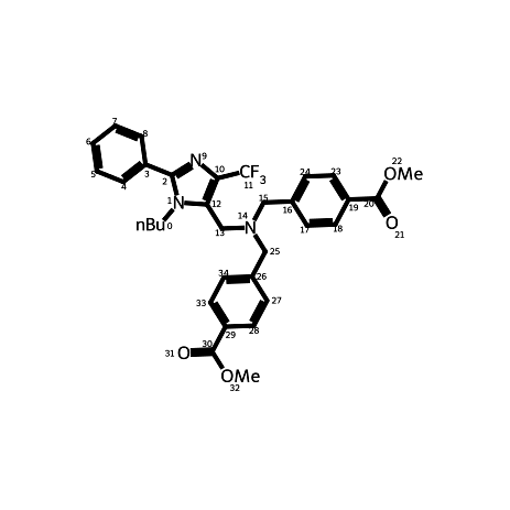 CCCCn1c(-c2ccccc2)nc(C(F)(F)F)c1CN(Cc1ccc(C(=O)OC)cc1)Cc1ccc(C(=O)OC)cc1